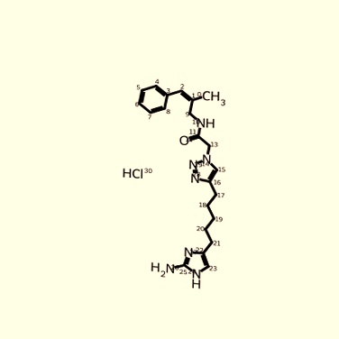 CC(=Cc1ccccc1)CNC(=O)Cn1cc(CCCCCc2c[nH]c(N)n2)nn1.Cl